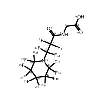 O=C(O)CNC(=O)C(F)(F)C(F)(F)N1C(F)(F)C(F)(F)C(F)(F)C(F)(F)C1(F)F